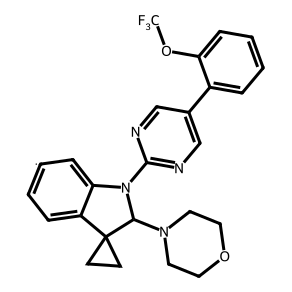 FC(F)(F)Oc1ccccc1-c1cnc(N2c3c[c]ccc3C3(CC3)C2N2CCOCC2)nc1